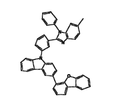 Cc1ccc2nc(-c3cccc(-n4c5ccccc5c5cc(-c6cccc7c6oc6ccccc67)ccc54)c3)n(-c3ccccc3)c2c1